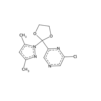 Cc1cc(C)n(C2(c3cncc(Cl)n3)OCCO2)n1